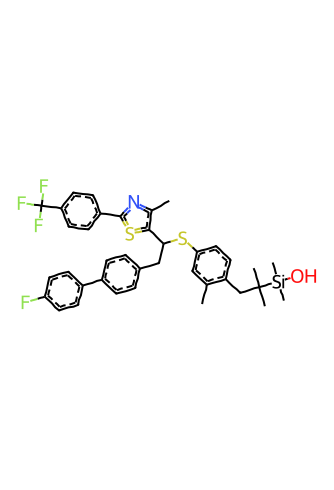 Cc1cc(SC(Cc2ccc(-c3ccc(F)cc3)cc2)c2sc(-c3ccc(C(F)(F)F)cc3)nc2C)ccc1CC(C)(C)[Si](C)(C)O